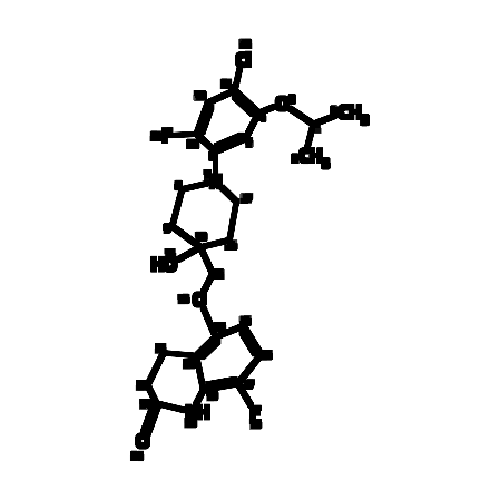 CC(C)Oc1cc(N2CCC(O)(COc3ccc(F)c4c3CCC(=O)N4)CC2)c(F)cc1Cl